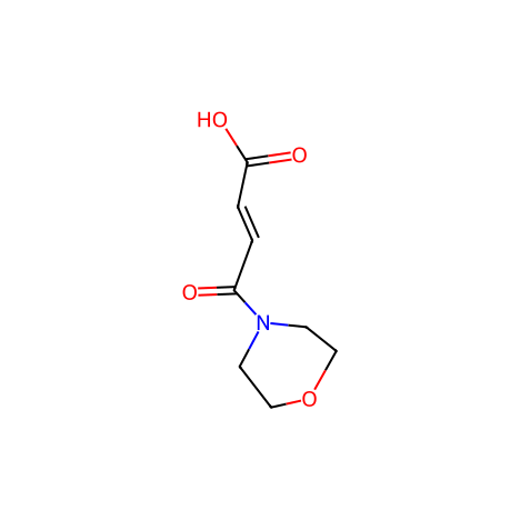 O=C(O)/C=C/C(=O)N1CCOCC1